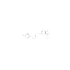 Cc1nn(C2COC2)c2nc(N3CCC4(CCN(c5ccc(C(F)(F)F)nc5)C4)CC3)cnc12